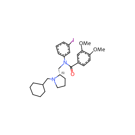 COc1ccc(C(=O)N(C[C@@H]2CCCN2CC2CCCCC2)c2cccc(I)c2)cc1OC